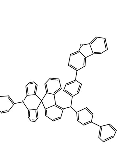 c1ccc(-c2ccc(C(c3ccc(-c4ccc5oc6ccccc6c5c4)cc3)c3cccc4c3-c3ccccc3C43c4ccccc4N(c4ccccc4)c4ccccc43)cc2)cc1